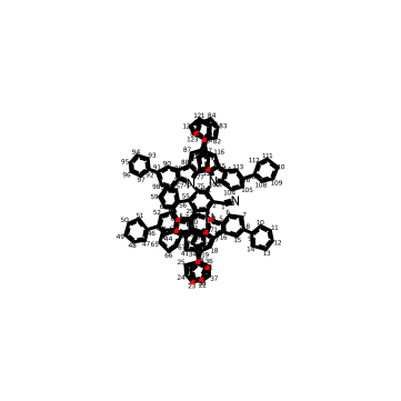 N#Cc1c(-n2c3ccc(-c4ccccc4)cc3c3cc(-c4ccccc4)ccc32)c(-n2c3ccc(-c4ccccc4)cc3c3cc(-c4ccccc4)ccc32)c(-c2ccccc2-n2c3ccccc3c3ccncc32)c(-n2c3ccc(-c4ccccc4)cc3c3cc(-c4ccccc4)ccc32)c1-n1c2ccc(-c3ccccc3)cc2c2cc(-c3ccccc3)ccc21